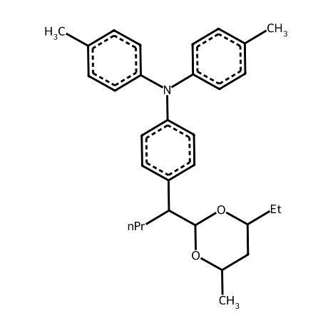 CCCC(c1ccc(N(c2ccc(C)cc2)c2ccc(C)cc2)cc1)C1OC(C)CC(CC)O1